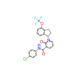 O=C(Nc1ccc(Cl)cc1)c1cccn(C2CCc3c(OC(F)(F)F)cccc32)c1=O